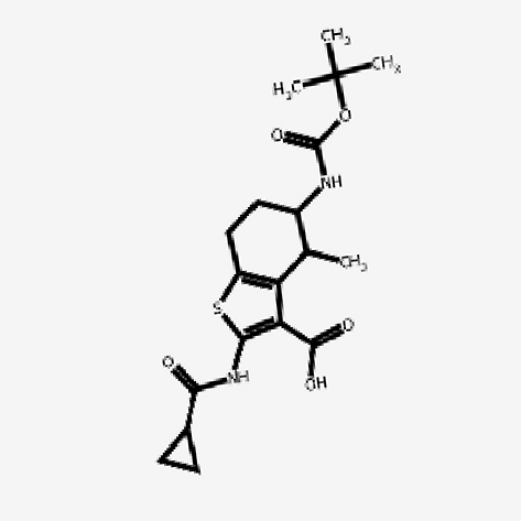 CC1c2c(sc(NC(=O)C3CC3)c2C(=O)O)CCC1NC(=O)OC(C)(C)C